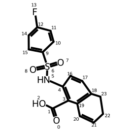 O=C(O)c1c(NS(=O)(=O)c2ccc(F)cc2)ccc2c1C=CCC2